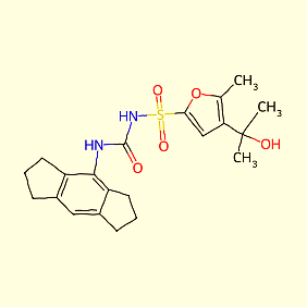 Cc1oc(S(=O)(=O)NC(=O)Nc2c3c(cc4c2CCC4)CCC3)cc1C(C)(C)O